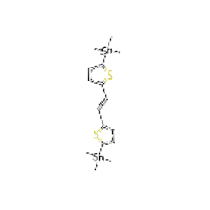 [CH3][Sn]([CH3])([CH3])[c]1ccc(C=Cc2cc[c]([Sn]([CH3])([CH3])[CH3])s2)s1